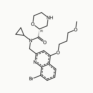 COCCCOc1cc(CN(C(=O)[C@H]2CNCCO2)C2CC2)nc2c(Br)cccc12